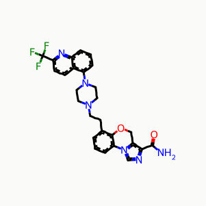 NC(=O)c1ncn2c1COc1c(CCN3CCN(c4cccc5nc(C(F)(F)F)ccc45)CC3)cccc1-2